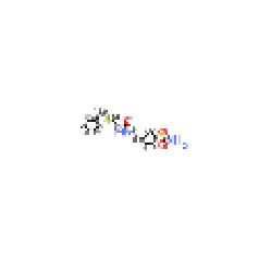 NS(=O)(=O)c1ccc(CCNC(=O)CCS/C=C\c2ccccc2)cc1